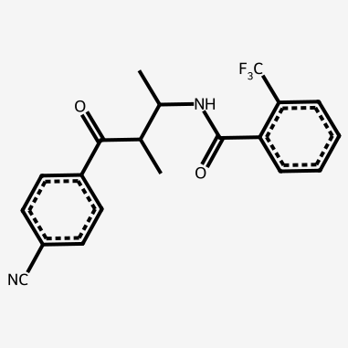 CC(NC(=O)c1ccccc1C(F)(F)F)C(C)C(=O)c1ccc(C#N)cc1